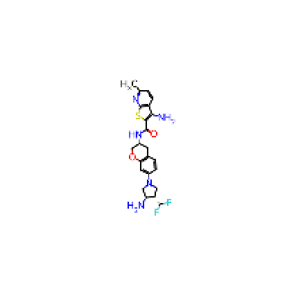 Cc1ccc2c(N)c(C(=O)N[C@H]3COc4cc(N5C[C@H](C(F)F)[C@@H](N)C5)ccc4C3)sc2n1